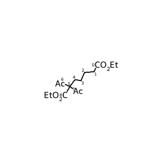 CCOC(=O)CCCCC(C(C)=O)(C(C)=O)C(=O)OCC